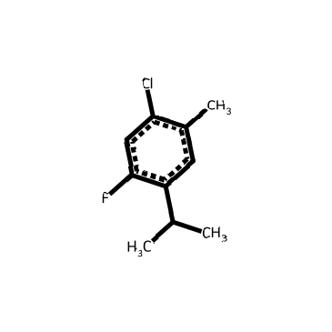 Cc1cc(C(C)C)c(F)cc1Cl